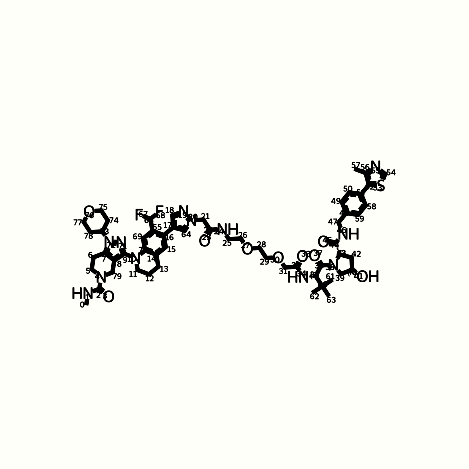 CNC(=O)N1CCc2c(c(N3CCCc4cc(-c5cnn(CC(=O)NCCOCCOCC(=O)N[C@H](C(=O)N6C[C@H](O)C[C@H]6C(=O)NCc6ccc(-c7scnc7C)cc6)C(C)(C)C)c5)c(C(F)F)cc43)nn2C2CCOCC2)C1